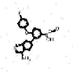 Nc1cnnc2cc(-c3cc(B(O)OC=O)ccc3Oc3ccc(F)cc3)ccc12